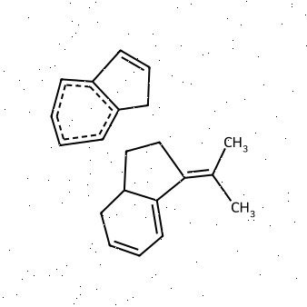 C1=Cc2ccccc2C1.CC(C)=C1CCC2CC=CC=C12